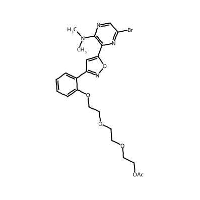 CC(=O)OCCOCCOCCOc1ccccc1-c1cc(-c2nc(Br)cnc2N(C)C)on1